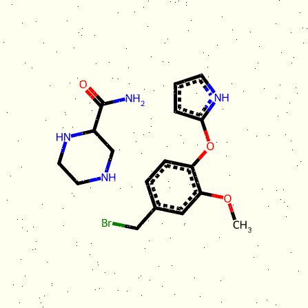 COc1cc(CBr)ccc1Oc1ccc[nH]1.NC(=O)C1CNCCN1